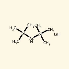 C[Si](C)(C)[AsH][Si](C)(C)C.[LiH]